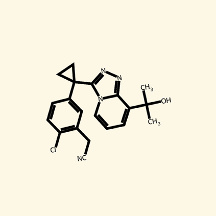 CC(C)(O)c1cccn2c(C3(c4ccc(Cl)c(CC#N)c4)CC3)nnc12